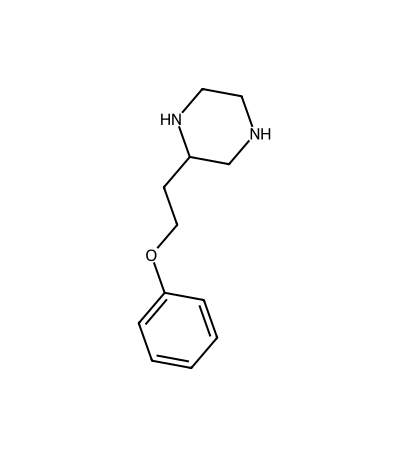 c1ccc(OCCC2CNCCN2)cc1